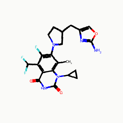 Cc1c(N2CCC(Cc3coc(N)n3)C2)c(F)c(C(F)F)c2c(=O)[nH]c(=O)n(C3CC3)c12